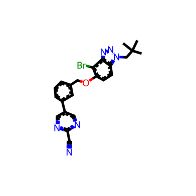 CC(C)(C)Cn1nnc2c(Br)c(OCc3cccc(-c4cnc(C#N)nc4)c3)ccc21